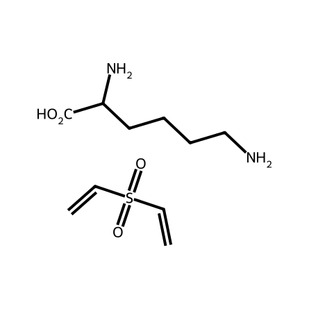 C=CS(=O)(=O)C=C.NCCCCC(N)C(=O)O